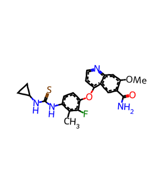 COc1cc2nccc(Oc3ccc(NC(=S)NC4CC4)c(C)c3F)c2cc1C(N)=O